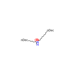 CCCCCCCCCCCCCCCCCCCC(=O)NC(C)C(O)CCCCCCCCCCCCCCC